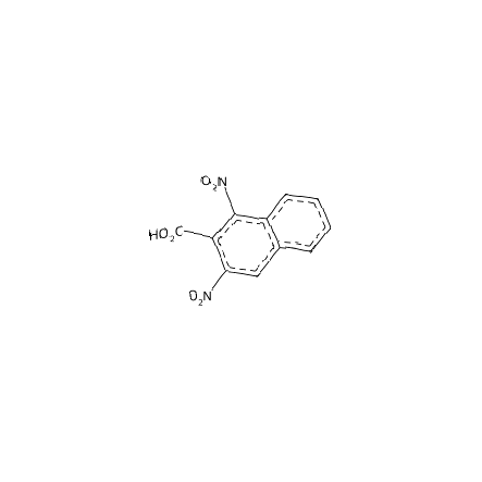 O=C(O)c1c([N+](=O)[O-])cc2ccccc2c1[N+](=O)[O-]